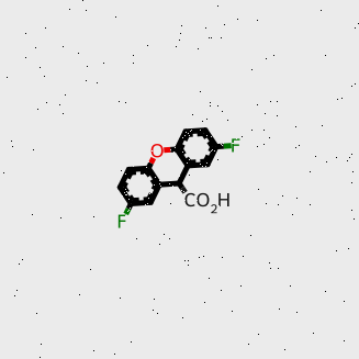 O=C(O)C1c2cc(F)ccc2Oc2ccc(F)cc21